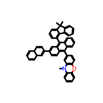 CN1c2ccccc2Oc2ccc(-c3c4ccccc4c(-c4cccc5c4-c4ccccc4C5(C)C)c4cc(C5=CC6C=CC=CC6C=C5)ccc34)cc21